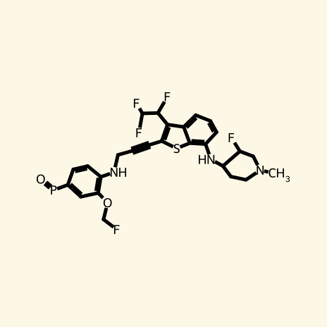 CN1CCC(Nc2cccc3c(C(F)C(F)F)c(C#CCNc4ccc(P=O)cc4OCF)sc23)C(F)C1